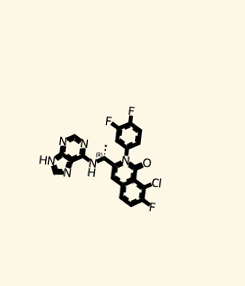 C[C@@H](Nc1ncnc2[nH]cnc12)c1cc2ccc(F)c(Cl)c2c(=O)n1-c1ccc(F)c(F)c1